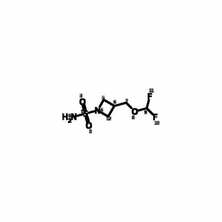 NS(=O)(=O)N1CC(COC(F)F)C1